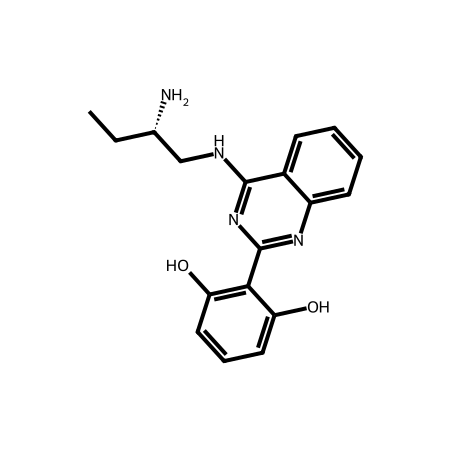 CC[C@H](N)CNc1nc(-c2c(O)cccc2O)nc2ccccc12